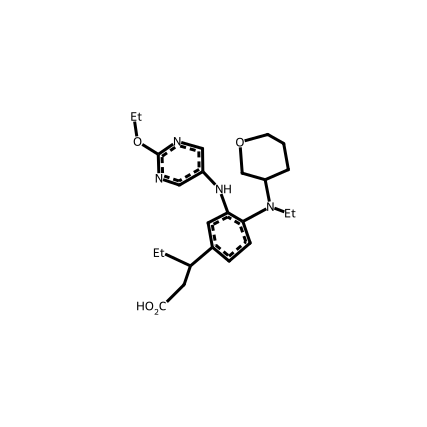 CCOc1ncc(Nc2cc(C(CC)CC(=O)O)ccc2N(CC)C2CCCOC2)cn1